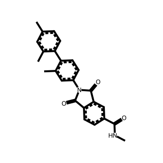 CNC(=O)c1ccc2c(c1)C(=O)N(c1ccc(-c3ccc(C)cc3C)c(C)c1)C2=O